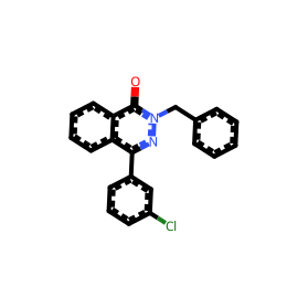 O=c1c2ccccc2c(-c2cccc(Cl)c2)nn1Cc1ccccc1